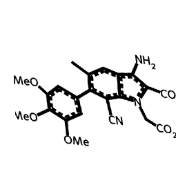 CCOC(=O)Cn1c(C(=O)OCC)c(N)c2cc(C)c(-c3cc(OC)c(OC)c(OC)c3)c(C#N)c21